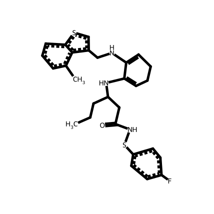 CCCC(CC(=O)NSc1ccc(F)cc1)NC1=CCCC=C1NCc1csc2cccc(C)c12